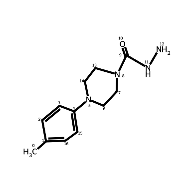 Cc1ccc(N2CCN(C(=O)NN)CC2)cc1